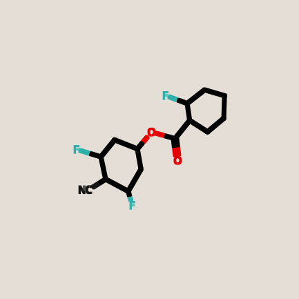 N#CC1C(F)CC(OC(=O)C2CCCCC2F)CC1F